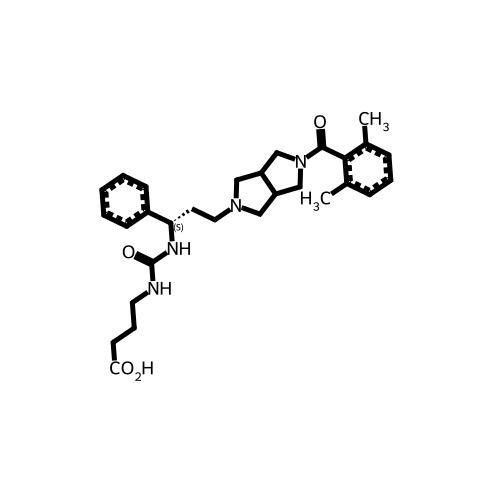 Cc1cccc(C)c1C(=O)N1CC2CN(CC[C@H](NC(=O)NCCCC(=O)O)c3ccccc3)CC2C1